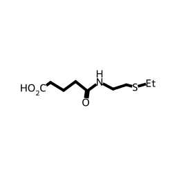 CCSCCNC(=O)CCCC(=O)O